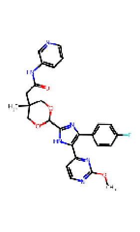 COc1nccc(-c2[nH]c(C3OCC(C)(CC(=O)Nc4cccnc4)CO3)nc2-c2ccc(F)cc2)n1